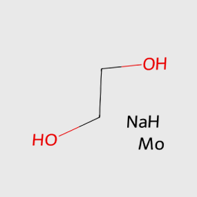 OCCO.[Mo].[NaH]